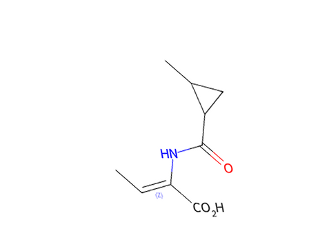 C/C=C(\NC(=O)C1CC1C)C(=O)O